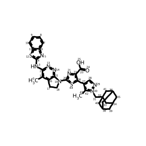 Cc1c(Nc2nc3ccccc3s2)nnc2c1CCN2c1nc(C(=O)O)c(-c2cnn(CC34CC5CC(CC(C5)C3)C4)c2C)s1